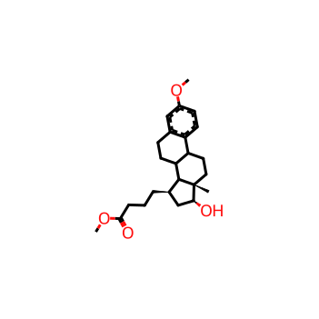 COC(=O)CCC[C@@H]1C[C@H](O)[C@@]2(C)CCC3c4ccc(OC)cc4CCC3C12